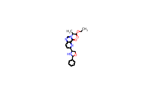 CCOC(=O)C(C)n1cnc2ccc(C3COC(c4ccccc4)N3)nc2c1=O